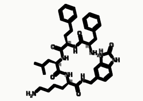 CC(C)C[C@@H](NC(=O)[C@@H](CCc1ccccc1)NC(=O)[C@H](N)Cc1ccccc1)C(=O)N[C@H](CCCCN)C(=O)NCc1ccc2[nH]c(=O)[nH]c2c1